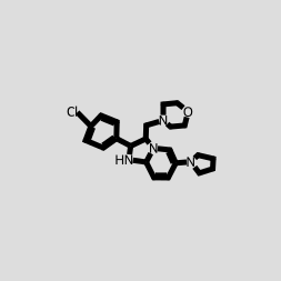 Clc1ccc(C2NC3C=CC(N4CCCC4)=CN3C2CN2CCOCC2)cc1